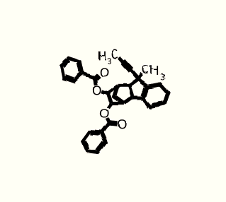 CC#CC1(C)C2=C(C=CCC2)C2C3CC(C(OC(=O)c4ccccc4)C3OC(=O)c3ccccc3)C21